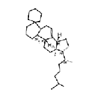 CC(C)CCC[C@@H](C)[C@H]1CC[C@H]2C3=CCC4C5(CCCCC5)CCC[C@]4(C)[C@H]3CC[C@]12C